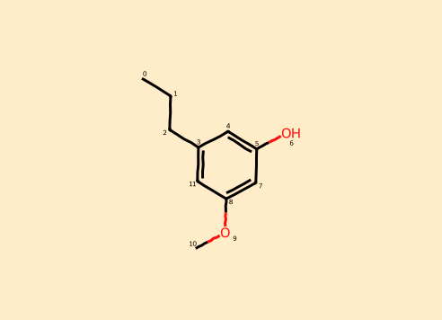 CCCc1cc(O)cc(OC)c1